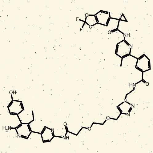 CCc1c(-c2ccc(NC(=O)CCOCCOCc3cn(CCNC(=O)c4cccc(-c5nc(NC(=O)C6(c7ccc8c(c7)OC(F)(F)O8)CC6)ccc5C)c4)nn3)nc2)cnc(N)c1-c1ccc(O)cc1